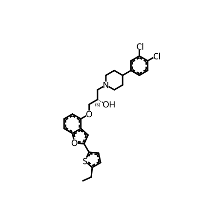 CCc1ccc(-c2cc3c(OC[C@@H](O)CN4CCC(c5ccc(Cl)c(Cl)c5)CC4)cccc3o2)s1